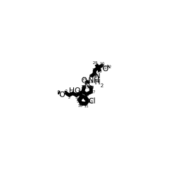 COCCCCC(O)(c1cccc(Cl)c1)C1CCCN(C(=O)NCC(N)CC(C)(C)COC)C1